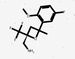 COc1ccc(F)cc1C1(C)C[C@@](CN)(C(F)(F)F)O1